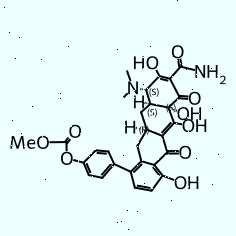 COC(=O)Oc1ccc(-c2ccc(O)c3c2C[C@H]2C[C@H]4[C@H](N(C)C)C(O)=C(C(N)=O)C(=O)[C@@]4(O)C(O)=C2C3=O)cc1